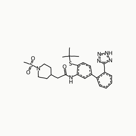 CC(C)(C)Sc1ccc(-c2ccccc2-c2nn[nH]n2)cc1NC(=O)CC1CCN(S(C)(=O)=O)CC1